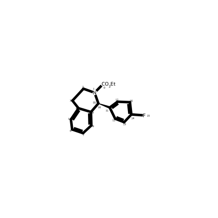 CCOC(=O)N1CCc2ccccc2[C@@H]1c1ccc(F)cc1